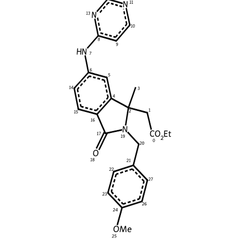 CCOC(=O)CC1(C)c2cc(Nc3ccncn3)ccc2C(=O)N1Cc1ccc(OC)cc1